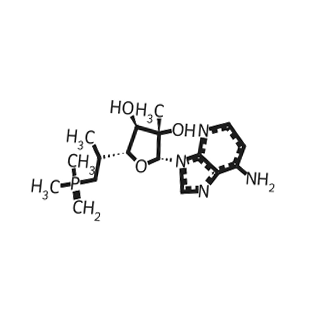 C=P(C)(C)CC(C)[C@H]1O[C@@H](n2cnc3c(N)ccnc32)[C@@](C)(O)[C@@H]1O